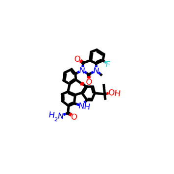 Cc1c(-c2ccc(C(N)=O)c3[nH]c4cc(C(C)(C)O)cc(C)c4c23)cccc1-n1c(=O)c2cccc(F)c2n(C)c1=O